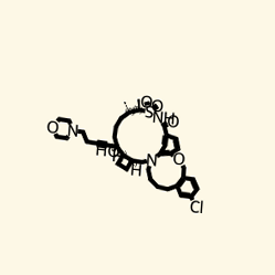 C[C@@H]1[C@@H](C)CCC[C@@](O)(C#CCCN2CCOCC2)[C@@H]2CC[C@H]2CN2CCCCc3cc(Cl)ccc3COc3ccc(cc32)C(=O)NS1(=O)=O